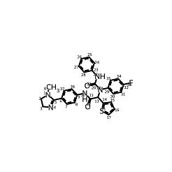 CN1CCN=C1c1ccc(NC(=O)C(c2cccs2)N(C(=O)Nc2ccccc2)c2ccc(F)cc2)cc1